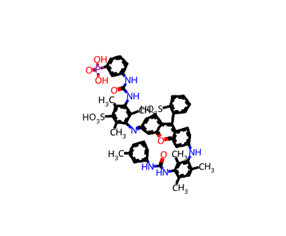 Cc1cccc(NC(=O)Nc2c(C)cc(C)c(Nc3ccc4c(-c5ccccc5S(=O)(=O)O)c5cc/c(=N\c6c(C)c(NC(=O)Nc7cccc(P(=O)(O)O)c7)c(C)c(S(=O)(=O)O)c6C)cc-5oc4c3)c2C)c1